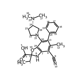 CCC1(C(=O)O)Nc2c(C#N)c(C)c(-c3ccccc3)c(N3CC[C@H](N(C)C)C3)c2O1